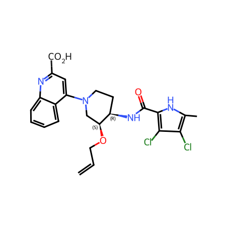 C=CCO[C@H]1CN(c2cc(C(=O)O)nc3ccccc23)CC[C@H]1NC(=O)c1[nH]c(C)c(Cl)c1Cl